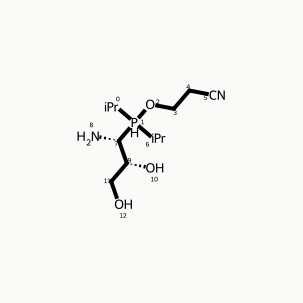 CC(C)[PH](OCCC#N)(C(C)C)[C@@H](N)[C@H](O)CO